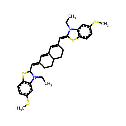 CCN1/C(=C/C2=CC3=C/C(=C/C4Sc5ccc(SC)cc5N4CC)CCC3CC2)Sc2ccc(SC)cc21